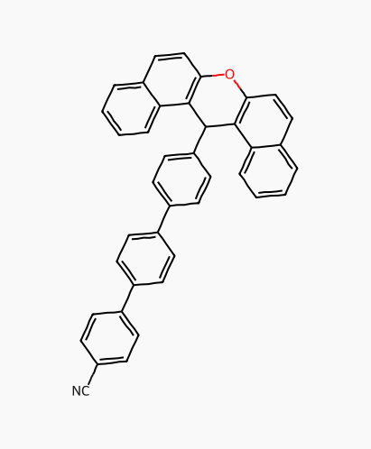 N#Cc1ccc(-c2ccc(-c3ccc(C4c5c(ccc6ccccc56)Oc5ccc6ccccc6c54)cc3)cc2)cc1